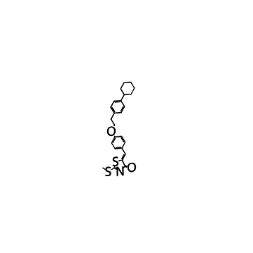 CSC1=NC(=O)C(=Cc2ccc(OCCc3ccc(C4CCCCC4)cc3)cc2)S1